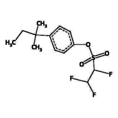 CCC(C)(C)c1ccc(OS(=O)(=O)C(F)C(F)F)cc1